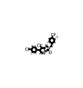 O=c1n(Cc2ccc(C(F)(F)F)cc2)nc2c(Cl)c(-c3ccc(Cl)cc3)cnn12